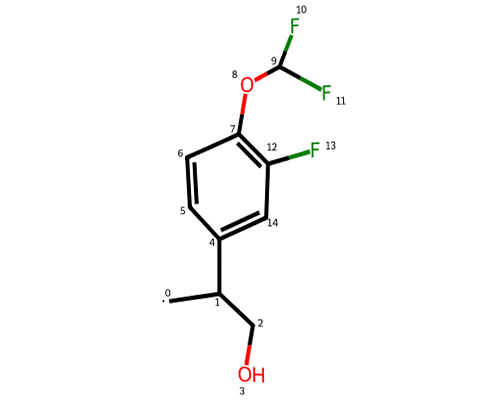 [CH2]C(CO)c1ccc(OC(F)F)c(F)c1